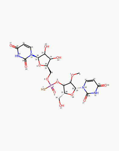 COC1C(OP(=O)(S)OC[C@H]2O[C@@H](n3ccc(=O)[nH]c3=O)C(O)C2O)[C@@H](CO)O[C@H]1n1ccc(=O)[nH]c1=O